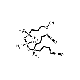 C[Si](C)(CCCOC#N)O[Si](C)(C)O[Si](C)(CCCN=C=O)CCCN=C=O